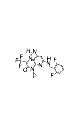 Nc1cc(NCc2c(F)cccc2F)nc2c1nc(C(F)(F)F)c(=O)n2C1CC1